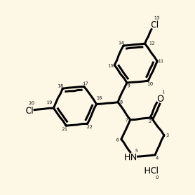 Cl.O=C1CCNCC1C(c1ccc(Cl)cc1)c1ccc(Cl)cc1